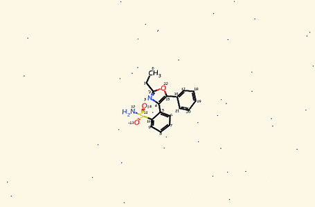 CCc1nc(-c2ccccc2S(N)(=O)=O)c(-c2ccccc2)o1